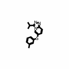 Cc1cccc(Sc2ccc3nnc(C(C)C)n3c2)c1